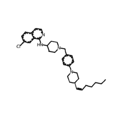 CCCCC/C=C\C1CCN(c2ccc(CN3CCC(Nc4nccc5ccc(Cl)cc45)CC3)cc2)CC1